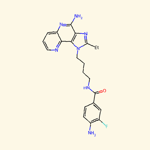 CCc1nc2c(N)nc3cccnc3c2n1CCCCNC(=O)c1ccc(N)c(F)c1